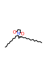 CCCCCCCCCCCC=C(C)C(CCCCCCCCC)N1C(=O)CCC1=O